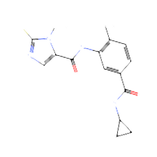 Cc1ccc(C(=O)NC2CC2)cc1NC(=O)c1cnc(S)n1C